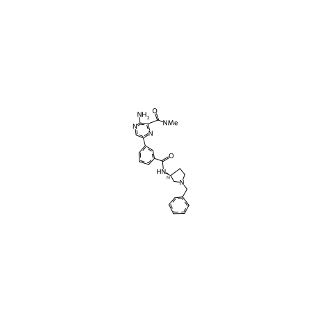 CNC(=O)c1nc(-c2cccc(C(=O)N[C@H]3CCN(Cc4ccccc4)C3)c2)cnc1N